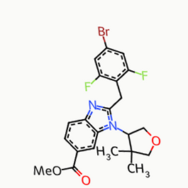 COC(=O)c1ccc2nc(Cc3c(F)cc(Br)cc3F)n(C3COCC3(C)C)c2c1